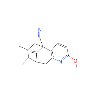 C=C1C2Cc3nc(OC)ccc3C1(C#N)CC(C)C2C